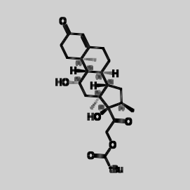 C[C@@H]1C[C@H]2[C@@H]3CCC4=CC(=O)CC[C@]4(C)[C@H]3[C@@H](O)C[C@]2(C)[C@@]1(O)C(=O)COC(=O)C(C)(C)C